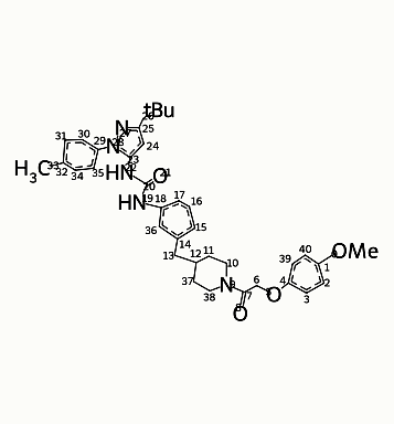 COc1ccc(OCC(=O)N2CCC(Cc3cccc(NC(=O)Nc4cc(C(C)(C)C)nn4-c4ccc(C)cc4)c3)CC2)cc1